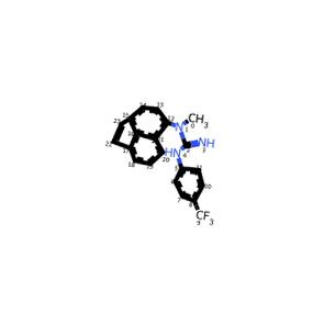 CN(C(=N)Nc1ccc(C(F)(F)F)cc1)c1ccc2c3c(cccc13)C=C2